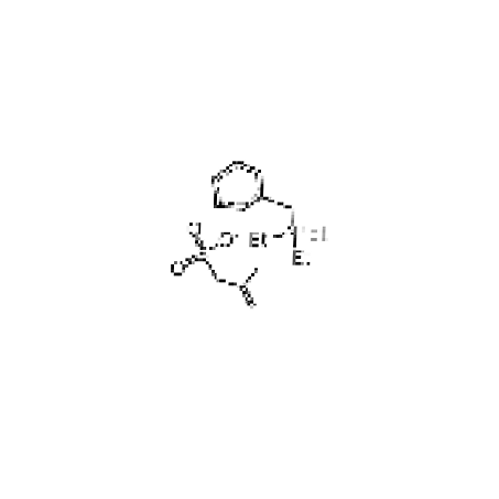 C=C(C)CS(=O)(=O)[O-].CC[N+](CC)(CC)Cc1ccccc1